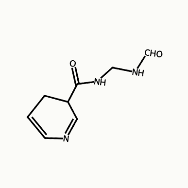 O=CNCNC(=O)C1C=NC=CC1